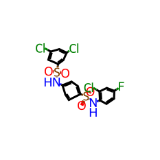 O=S(=O)(Nc1ccc(S(=O)(=O)Nc2ccc(F)cc2Cl)cc1)c1cc(Cl)cc(Cl)c1